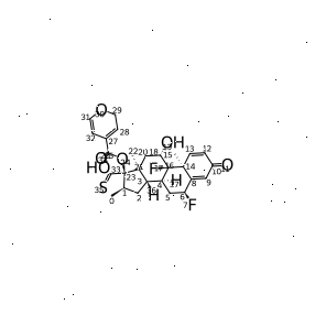 C[C@@H]1C[C@H]2[C@@H]3C[C@H](F)C4=CC(=O)C=C[C@]4(C)[C@@]3(F)[C@@H](O)C[C@]2(C)[C@@]1(OC(=O)C1=CCOC=C1)C(O)=S